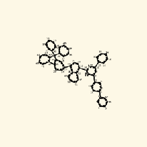 c1ccc(-c2ccc(-c3cc(-c4ccccc4)nc(-c4ccc(-c5ccc6c(c5)C(c5ccccc5)(c5ccccc5)c5ccccc5-6)c5ccccc45)n3)cc2)cc1